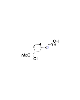 COC(O)c1ccnc(/N=C/NO)c1